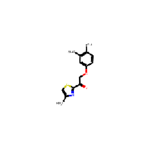 CCCCCCCCc1ccc(OCC(=O)c2nc(C(=O)O)cs2)cc1OC